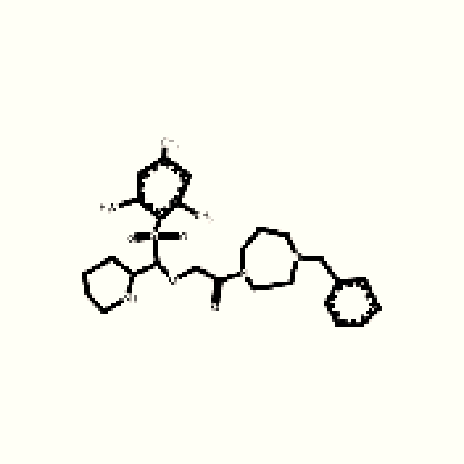 Cc1cc(C)c(S(=O)(=O)C(OCC(=O)N2CCCN(Cc3ccccc3)CC2)C2CCCCN2)c(C)c1